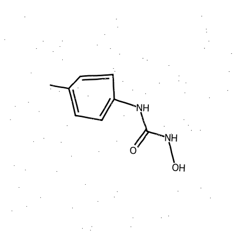 Cc1ccc(NC(=O)NO)cc1